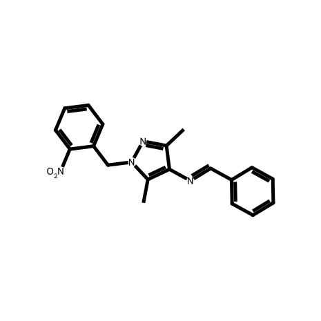 Cc1nn(Cc2ccccc2[N+](=O)[O-])c(C)c1/N=C/c1ccccc1